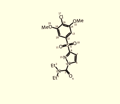 CCN(CC)C(=O)n1ccc(S(=O)(=O)c2cc(OC)c(Cl)c(OC)c2)n1